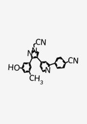 Cc1cc(O)cc(-c2nn(CC#N)cc2-c2ccnc(-c3ccc(C#N)cc3)c2)c1